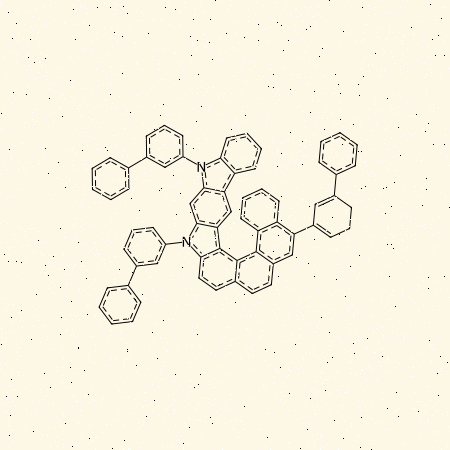 C1=C(c2ccccc2)CCC=C1c1cc2ccc3ccc4c(c5cc6c7ccccc7n(-c7cccc(-c8ccccc8)c7)c6cc5n4-c4cccc(-c5ccccc5)c4)c3c2c2ccccc12